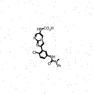 CC(C)N(C)C(=O)Nc1ccc(Cl)c(-c2cn3cc(NC(=O)O)cnc3n2)c1